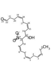 CC/C=C\C/C=C\C/C=C\CC(C(O)C/C=C\C/C=C\CC[C]=O)[N+](=O)[O-]